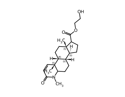 CN1C(=O)C=C[C@@]2(C)C1CC[C@@H]1[C@H]2CC[C@]2(C)C(C(=O)OCCO)CC[C@@H]12